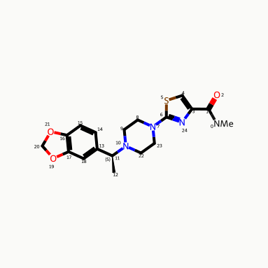 CNC(=O)c1csc(N2CCN([C@@H](C)c3ccc4c(c3)OCO4)CC2)n1